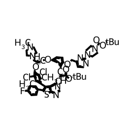 Cc1c(Cl)c2c(Cl)c(C)c1-c1c(-c3ccc(F)cc3)sc3ncnc(c13)O[C@@H](C(=O)OC(C)(C)C)Cc1cc(ccc1OCc1ccnc(N3CCN(C(=O)OC(C)(C)C)CC3)n1)OC[C@@H](CN1CCN(C)CC1)O2